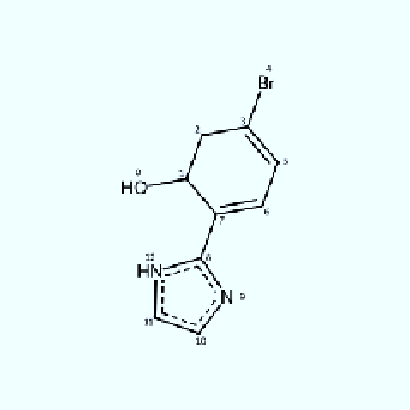 OC1CC(Br)=CC=C1c1ncc[nH]1